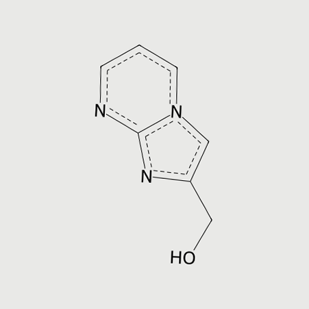 OCc1cn2cccnc2n1